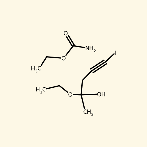 CCOC(C)(O)CC#CI.CCOC(N)=O